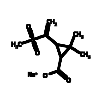 C=C(C1C(C(=O)[O-])C1(C)C)S(C)(=O)=O.[Na+]